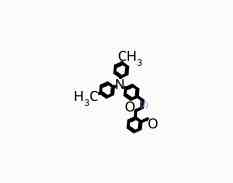 Cc1ccc(N(c2ccc(C)cc2)c2ccc(/C=C\C(=O)c3ccccc3C=O)cc2)cc1